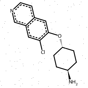 N[C@H]1CC[C@H](Oc2cc3ccncc3cc2Cl)CC1